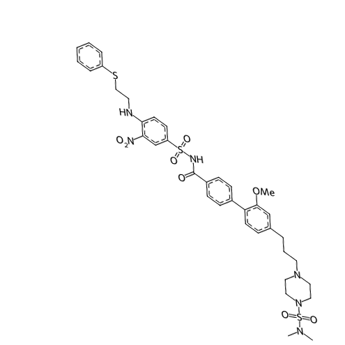 COc1cc(CCCN2CCN(S(=O)(=O)N(C)C)CC2)ccc1-c1ccc(C(=O)NS(=O)(=O)c2ccc(NCCSc3ccccc3)c([N+](=O)[O-])c2)cc1